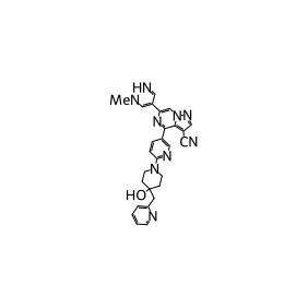 CN/C=C(\C=N)c1cn2ncc(C#N)c2c(-c2ccc(N3CCC(O)(Cc4ccccn4)CC3)nc2)n1